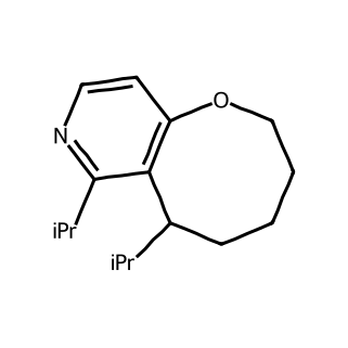 CC(C)c1nccc2c1C(C(C)C)CCCCO2